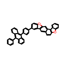 c1ccc(-c2c3ccccc3c(-c3ccc(-c4ccc5oc6cc7c(ccc8oc9ccccc9c87)cc6c5c4)cc3)c3ccccc23)cc1